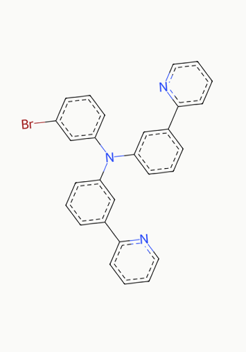 Brc1cccc(N(c2cccc(-c3ccccn3)c2)c2cccc(-c3ccccn3)c2)c1